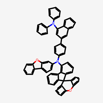 c1ccc(N(c2ccccc2)c2cc(-c3ccc(N(c4ccc5c(c4)oc4ccccc45)c4cccc5c4-c4ccccc4C54c5ccccc5Oc5ccccc54)cc3)cc3ccccc23)cc1